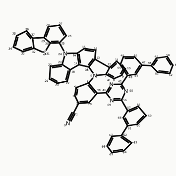 N#Cc1ccc(-n2c3ccccc3c3ccc4c(c5ccccc5n4-c4cccc5c4sc4ccccc45)c32)c(-c2nc(-c3cccc(-c4ccccc4)c3)nc(-c3cccc(-c4ccccc4)c3)n2)c1